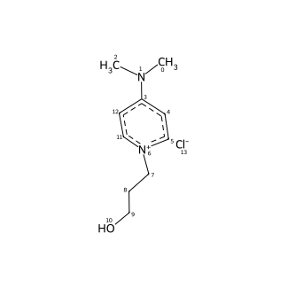 CN(C)c1cc[n+](CCCO)cc1.[Cl-]